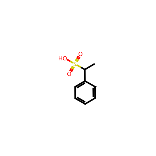 CC(c1[c]cccc1)S(=O)(=O)O